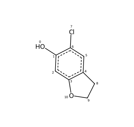 Oc1cc2c(cc1Cl)CCO2